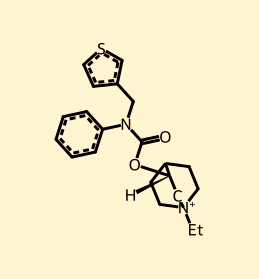 CC[N+]12CCC(CC1)[C@@H](OC(=O)N(Cc1ccsc1)c1ccccc1)C2